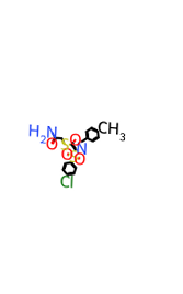 Cc1ccc(-c2nc(S(=O)(=O)c3ccc(Cl)cc3)c(SCC(N)=O)o2)cc1